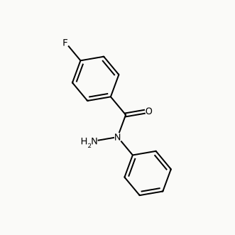 NN(C(=O)c1ccc(F)cc1)c1ccccc1